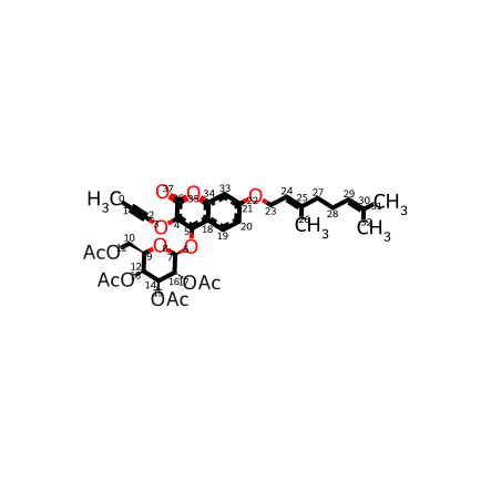 CC#COc1c(O[C@@H]2O[C@H](COC(C)=O)[C@H](OC(C)=O)[C@H](OC(C)=O)[C@H]2OC(C)=O)c2ccc(OC/C=C(\C)CCC=C(C)C)cc2oc1=O